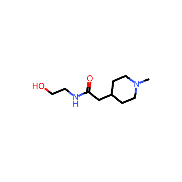 CN1CCC(CC(=O)NCCO)CC1